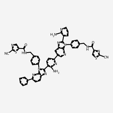 N#Cc1nc(C(=O)NCc2ccc(-n3c(-c4cccnc4N)nc4cc(-c5ccc(-c6nc7ccc(-c8ccccc8)nc7n6-c6ccc(CNC(=O)c7cnc(C#N)s7)cc6)c(N)n5)cnc43)cc2)cs1